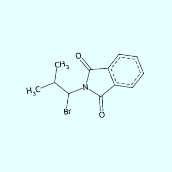 CC(C)C(Br)N1C(=O)c2ccccc2C1=O